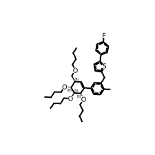 CCCCOC[C@H]1C=C(c2ccc(C)c(Cc3ccc(-c4ccc(F)cc4)s3)c2)[C@H](OCCCC)[C@@H](OCCCC)[C@@H]1OCCCC